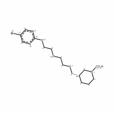 O=C(O)N1CCC[C@H](COCCOCCOc2ncc(Br)cn2)C1